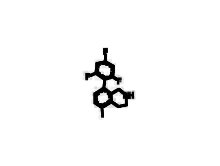 Cc1ccc(-c2c(F)cc(F)cc2F)c2c1CCNC2